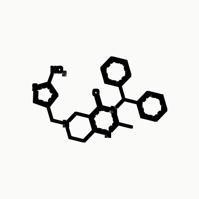 Cc1nc2c(c(=O)n1C(c1ccccc1)c1ccccc1)CN(Cc1csc([N+](=O)[O-])c1)CC2